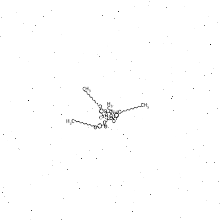 CCCCCCCCCCCCOc1ccc(C(=O)OCC(COC(=O)c2ccc(OCCCCCCCCCCCC)cc2)(COC(=O)c2ccc(OCCCCCCCCCCCC)cc2)COC(=O)c2c(C)c[nH]c2C)cc1